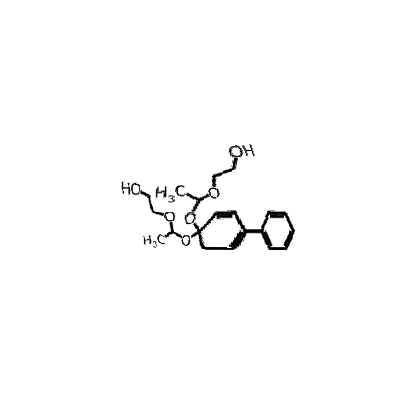 CC(OCCO)OC1(OC(C)OCCO)C=CC(c2ccccc2)=CC1